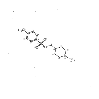 Cc1ccc(S(=O)(=O)OCC2CCN(C)CC2)cc1